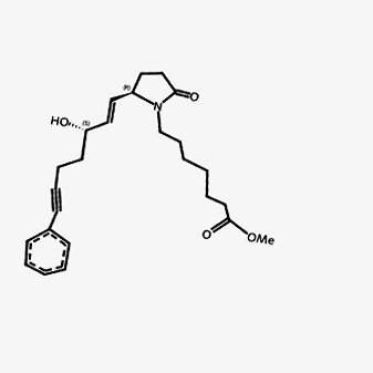 COC(=O)CCCCCCN1C(=O)CC[C@@H]1C=C[C@@H](O)CCC#Cc1ccccc1